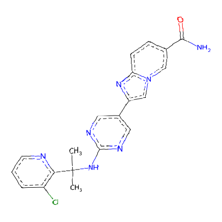 CC(C)(Nc1ncc(-c2cn3cc(C(N)=O)ccc3n2)cn1)c1ncccc1Cl